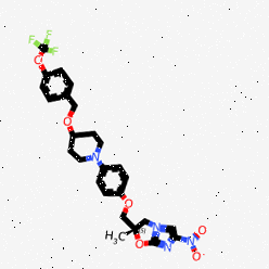 C[C@@]1(COc2ccc(N3CCC(OCc4ccc(OC(F)(F)F)cc4)CC3)cc2)Cn2cc([N+](=O)[O-])nc2O1